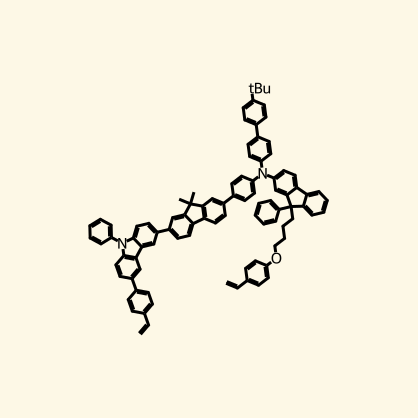 C=Cc1ccc(OCCCCC2(c3ccccc3)c3ccccc3-c3ccc(N(c4ccc(-c5ccc(C(C)(C)C)cc5)cc4)c4ccc(-c5ccc6c(c5)C(C)(C)c5cc(-c7ccc8c(c7)c7cc(-c9ccc(C=C)cc9)ccc7n8-c7ccccc7)ccc5-6)cc4)cc32)cc1